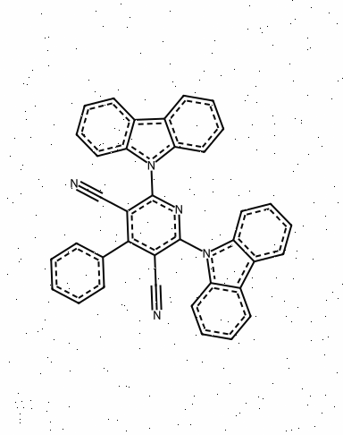 N#Cc1c(-n2c3ccccc3c3ccccc32)nc(-n2c3ccccc3c3ccccc32)c(C#N)c1-c1ccccc1